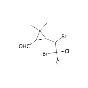 CC1(C)C(C=O)C1C(Br)C(Cl)(Cl)Br